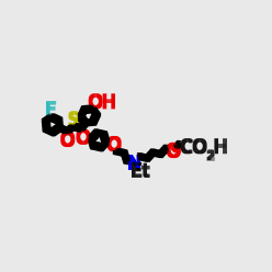 CCN(CCCCCOCC(=O)O)CCCOc1ccc(Oc2c(C(=O)c3cccc(F)c3)sc3cc(O)ccc23)cc1